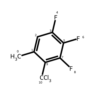 Cc1cc(F)c(F)c(F)c1C(Cl)(Cl)Cl